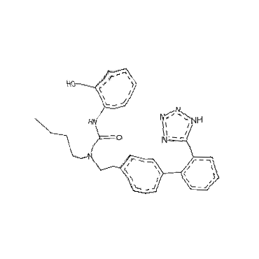 CCCCN(Cc1ccc(-c2ccccc2-c2nnn[nH]2)cc1)C(=O)Nc1ccccc1O